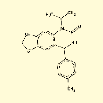 Cc1ccc(C2NC(=O)N(C(C)C)c3cc4c(cc32)OCO4)cc1